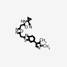 Cc1c(-c2ccc3nc(Cc4nnc(CC(=O)NC5(C#N)CC5)o4)sc3c2)cnn1C